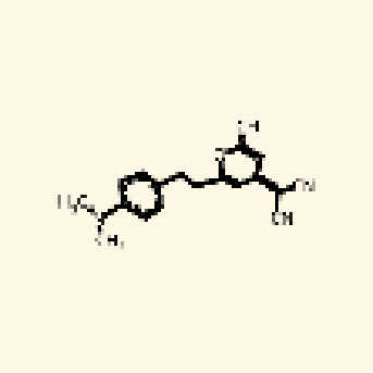 CC1=CC(=C(C#N)C#N)C=C(CCc2ccc(N(C)C)cc2)O1